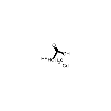 F.O.O=C(O)O.[Gd]